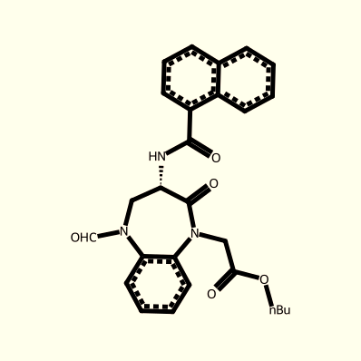 CCCCOC(=O)CN1C(=O)[C@@H](NC(=O)c2cccc3ccccc23)CN(C=O)c2ccccc21